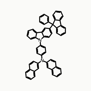 c1ccc(C2(c3ccc4c(c3)c3ccccc3n4-c3ccc(N(c4ccc5ccccc5c4)c4ccc5ccccc5c4)cc3)c3ccccc3-c3ccccc32)cc1